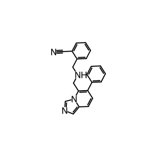 N#Cc1ccccc1CNCc1c(-c2ccccc2)ccc2cncn12